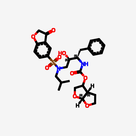 CC(C)CN(C[C@@H](O)[C@H](Cc1ccccc1)NC(=O)OC1CO[C@H]2OCC[C@@H]12)S(=O)(=O)c1ccc2c(c1)C(=O)CO2